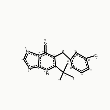 CC(C)(C)c1[nH]c2ncnn2c(=O)c1Cc1cccc(Cl)c1